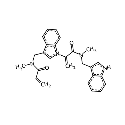 C=CC(=O)N(C)Cc1cn(C(=C)C(=O)N(C)Cc2c[nH]c3ccccc23)c2ccccc12